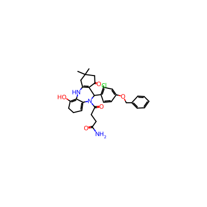 CC1(C)CC(=O)C2=C(C1)NC1=C(O)CCC=C1N(C(=O)CCC(N)=O)C2c1ccc(OCc2ccccc2)cc1Cl